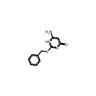 Nc1cc(=O)nc(SCc2ccccc2)[nH]1